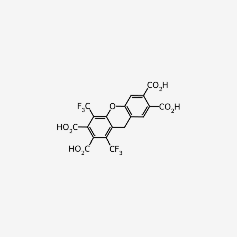 O=C(O)c1cc2c(cc1C(=O)O)Oc1c(c(C(F)(F)F)c(C(=O)O)c(C(=O)O)c1C(F)(F)F)C2